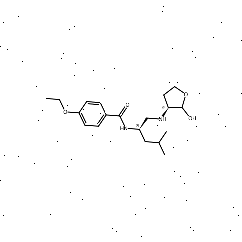 CCOc1ccc(C(=O)N[C@@H](CN[C@H]2CCOC2O)CC(C)C)cc1